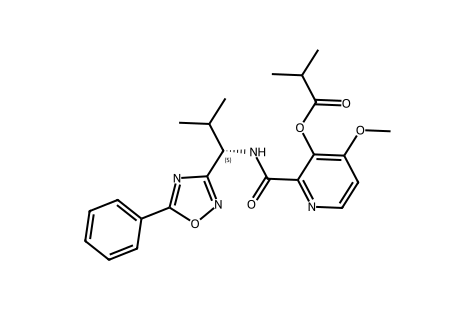 COc1ccnc(C(=O)N[C@H](c2noc(-c3ccccc3)n2)C(C)C)c1OC(=O)C(C)C